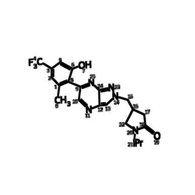 Cc1cc(C(F)(F)F)cc(O)c1-c1cnc2cn(CC3CC(=O)N(C(C)C)C3)nc2n1